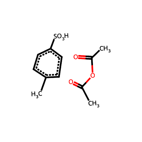 CC(=O)OC(C)=O.Cc1ccc(S(=O)(=O)O)cc1